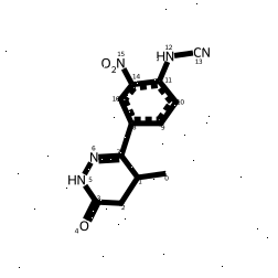 CC1CC(=O)NN=C1c1ccc(NC#N)c([N+](=O)[O-])c1